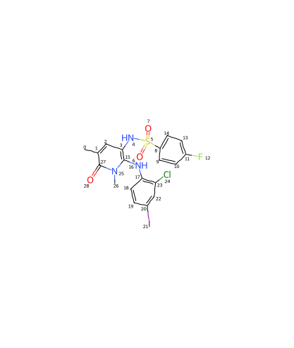 Cc1cc(NS(=O)(=O)c2ccc(F)cc2)c(Nc2ccc(I)cc2Cl)n(C)c1=O